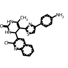 CC1=C(c2nc(-c3ccc(N)cc3)cs2)C(c2cc3ccccc3nc2Cl)NC(=O)N1